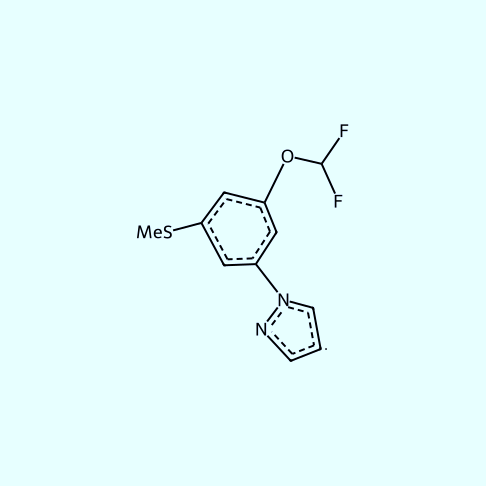 CSc1cc(OC(F)F)cc(-n2c[c]cn2)c1